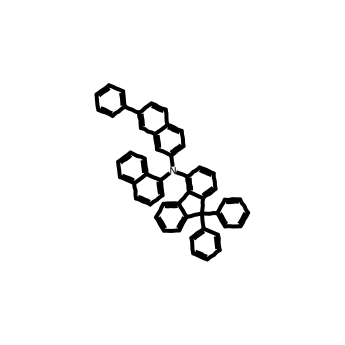 c1ccc(-c2ccc3ccc(N(c4cccc5c4-c4ccccc4C5(c4ccccc4)c4ccccc4)c4cccc5ccccc45)cc3c2)cc1